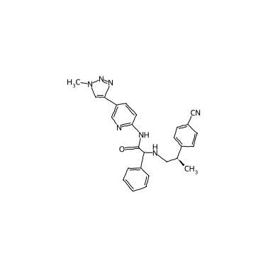 C[C@@H](CNC(C(=O)Nc1ccc(-c2cn(C)nn2)cn1)c1ccccc1)c1ccc(C#N)cc1